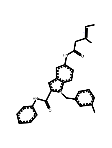 C/C=C(\C)CC(=O)Nc1ccc2c(c1)cc(C(=O)Nc1ccccc1)n2Cc1cccc(C)c1